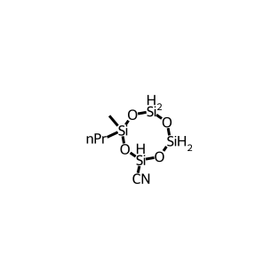 CCC[Si]1(C)O[SiH2]O[SiH2]O[SiH](C#N)O1